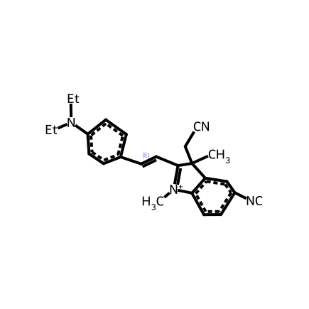 [C-]#[N+]c1ccc2c(c1)C(C)(CC#N)C(/C=C/c1ccc(N(CC)CC)cc1)=[N+]2C